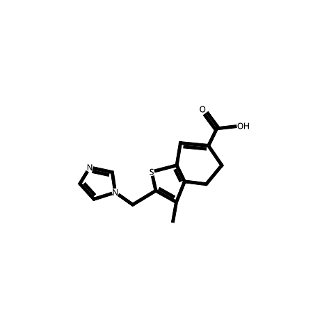 Cc1c(Cn2ccnc2)sc2c1CCC(C(=O)O)=C2